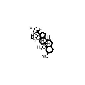 C[C@]12CC(C#N)=CCC1CC[C@@H]1[C@H]2CC[C@@]2(C)[C@H]1CCC2(O)C(F)(F)C(F)(F)F